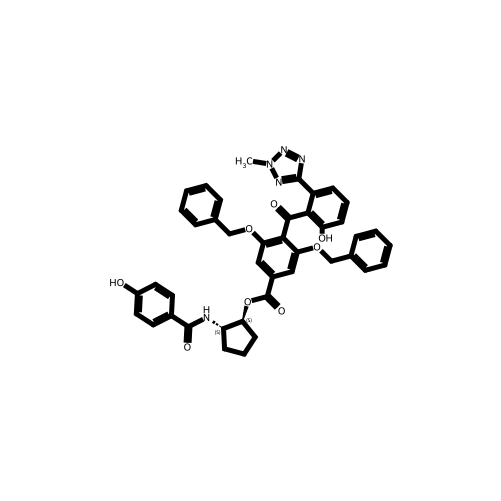 Cn1nnc(-c2cccc(O)c2C(=O)c2c(OCc3ccccc3)cc(C(=O)O[C@H]3CCC[C@@H]3NC(=O)c3ccc(O)cc3)cc2OCc2ccccc2)n1